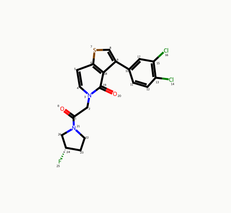 O=C(Cn1ccc2scc(-c3ccc(Cl)c(Cl)c3)c2c1=O)N1CC[C@H](F)C1